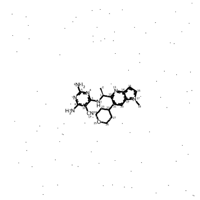 C[C@H](Nc1nc(N)nc(N)c1C#N)c1nc2ccn(C)c2cc1C1CCOCC1